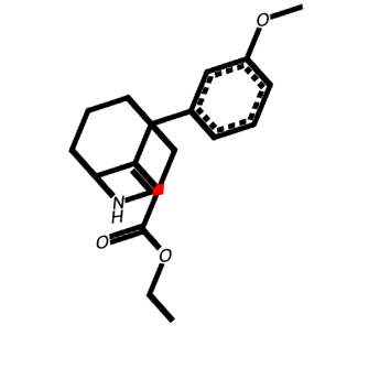 CCOC(=O)/C=C1\C2CCCC1(c1cccc(OC)c1)CCN2